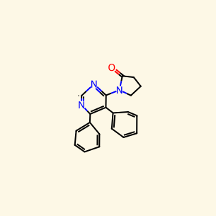 O=C1CCCN1c1n[c]nc(-c2ccccc2)c1-c1ccccc1